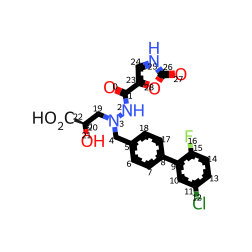 O=C(NN(Cc1ccc(-c2cc(Cl)ccc2F)cc1)C[C@@H](O)C(=O)O)c1c[nH]c(=O)o1